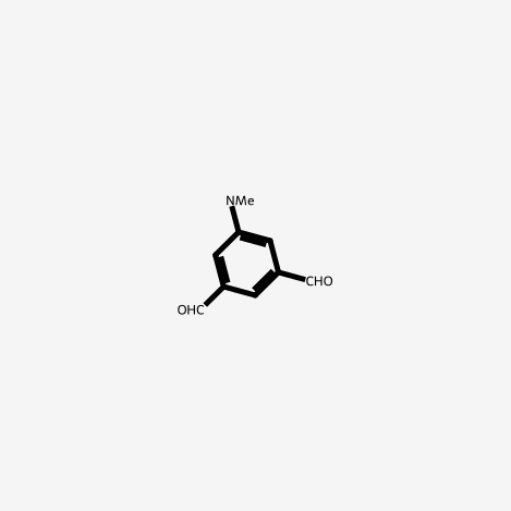 CNc1cc(C=O)cc(C=O)c1